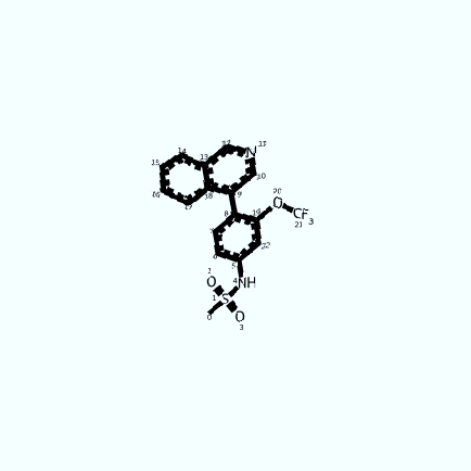 CS(=O)(=O)Nc1ccc(-c2cncc3ccccc23)c(OC(F)(F)F)c1